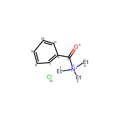 CC[N+](CC)(CC)C(=O)c1ccccc1.[Cl-]